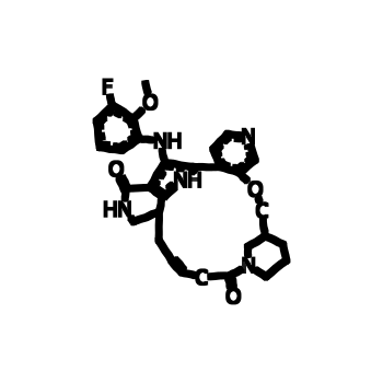 COc1c(F)cccc1Nc1c2[nH]c3c1C(=O)NCC3C/C=C\CC(=O)N1CCCC(COc3cnccc3-2)C1